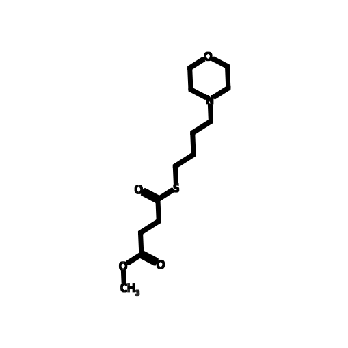 COC(=O)CCC(=O)SCCCCN1CCOCC1